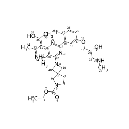 CCOC(=O)N1CCC2(C1)CN(c1nc(-c3cc(OC[C@H](O)CNC)ccc3F)nc(/C(C(C)=N)=C(\C)O)c1C)C2